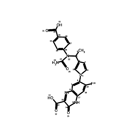 CC(c1ccn(-c2cc3nc(C(=O)O)c(=O)[nH]c3cc2F)c1)N(C(N)=O)c1ccc(C(=O)O)cc1